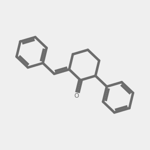 O=C1/C(=C/c2ccccc2)CCCC1c1ccccc1